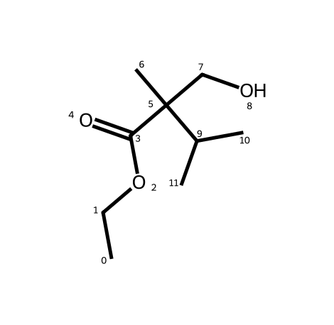 CCOC(=O)C(C)(CO)C(C)C